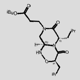 CC(C)COC(=O)CCN1C[C@@H]2NO[C@H](CC(C)C)C(=O)N2[C@@H](CC(C)C)C1=O